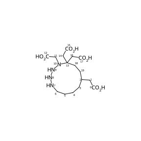 O=C(O)CC1CCCCNNNN(CC(=O)O)C(CC(=O)O)(CC(=O)O)CC1